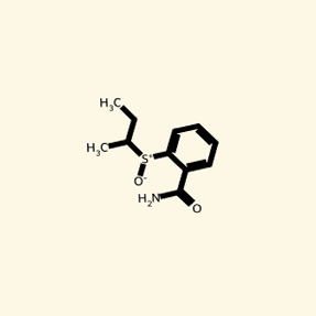 CCC(C)[S+]([O-])c1ccccc1C(N)=O